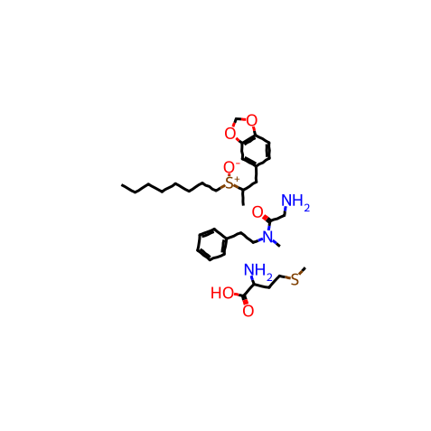 CCCCCCCC[S+]([O-])C(C)Cc1ccc2c(c1)OCO2.CN(CCc1ccccc1)C(=O)CN.CSCCC(N)C(=O)O